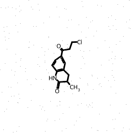 CC1Cc2cc(C(=O)CCCl)ccc2NC1=O